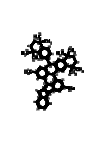 Cc1cc2c3c(c1)-n1c4oc5ccccc5c4c4cc(C(C)(C)C)cc(c41)B3c1cc3c(cc1N2c1ccc2c(c1)C(C)(C)CCC2(C)C)C(C)(C)CCC3(C)C